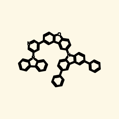 c1ccc(-c2ccc3c(c2)c2cc(-c4ccccc4)ccc2n3-c2ccc3oc4ccc(-c5cncc(-n6c7ccccc7c7ccccc76)c5)cc4c3c2)cc1